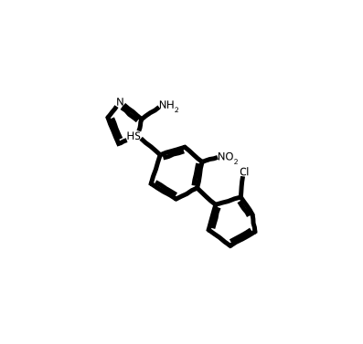 NC1=NC=C[SH]1c1ccc(-c2ccccc2Cl)c([N+](=O)[O-])c1